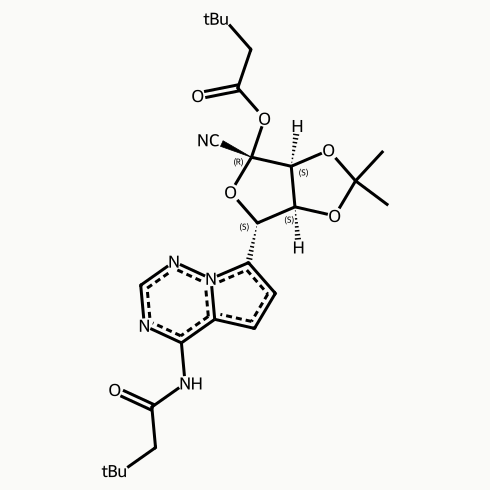 CC(C)(C)CC(=O)Nc1ncnn2c([C@@H]3O[C@](C#N)(OC(=O)CC(C)(C)C)[C@H]4OC(C)(C)O[C@@H]34)ccc12